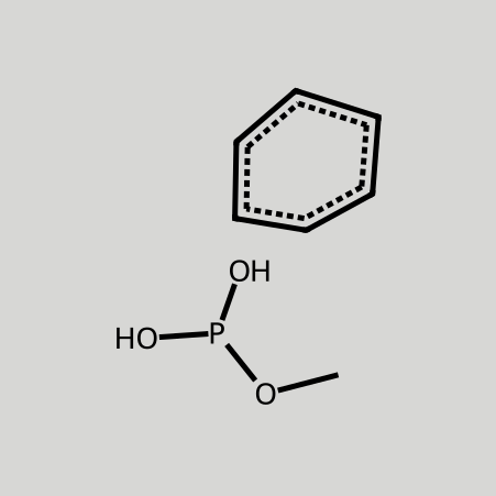 COP(O)O.c1ccccc1